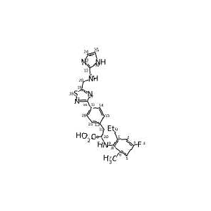 CCc1cc(F)cc(C)c1NC(Cc1ccc(-c2nsc(CNc3ncc[nH]3)n2)cc1)C(=O)O